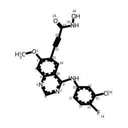 COc1cc2ncnc(Nc3ccc(F)c(Cl)c3)c2cc1C#CC(=O)NO